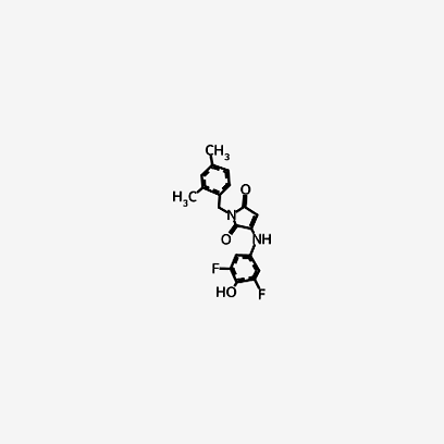 Cc1ccc(CN2C(=O)C=C(Nc3cc(F)c(O)c(F)c3)C2=O)c(C)c1